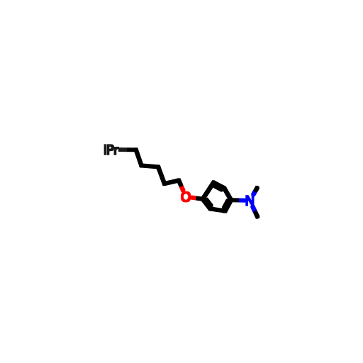 CC(C)CCCCCOc1ccc(N(C)C)cc1